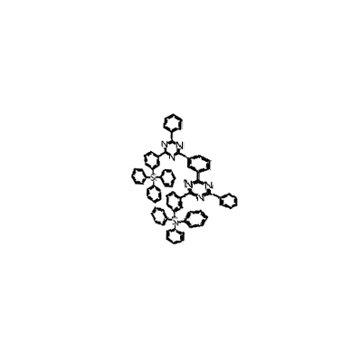 c1ccc(-c2nc(-c3cccc(-c4nc(-c5ccccc5)nc(-c5cccc([Si](c6ccccc6)(c6ccccc6)c6ccccc6)c5)n4)c3)nc(-c3cccc([Si](c4ccccc4)(c4ccccc4)c4ccccc4)c3)n2)cc1